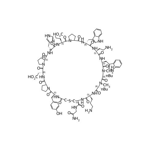 CCCC[C@@H]1C(=O)N(C)[C@H](CCCC)C(=O)N[C@@H](CCCN)C(=O)N[C@@H](C(=O)NCC(N)=O)CSCC(=O)N[C@@H](Cc2ccc(O)cc2)C(=O)N2CCCC2C(=O)N[C@H](CC(=O)O)C(=O)N2CCC[C@H]2C(=O)N[C@H](Cc2c[nH]cn2)C(=O)N[C@@H](CCC(=O)O)C(=O)N2CCCC2C(=O)N[C@H](Cc2c[nH]c3ccccc23)C(=O)N[C@@H](CCN)C(=O)N[C@@H](Cc2c[nH]c3ccccc23)C(=O)N1C